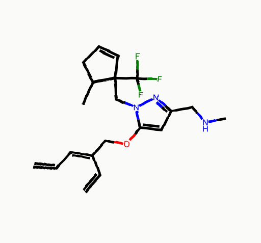 C=C/C=C(\C=C)COc1cc(CNC)nn1CC1(C(F)(F)F)C=CCC1C